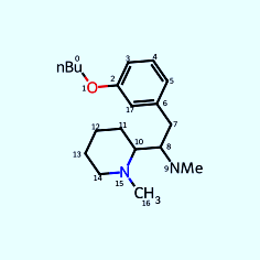 CCCCOc1cccc(CC(NC)C2CCCCN2C)c1